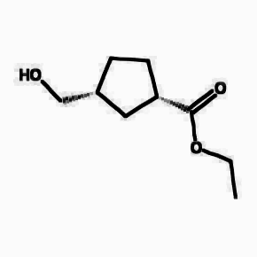 CCOC(=O)[C@H]1CC[C@@H](CO)C1